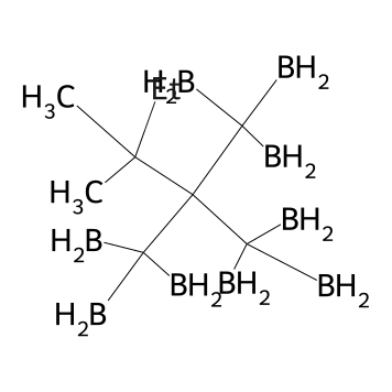 BC(B)(B)C(C(B)(B)B)(C(B)(B)B)C(C)(C)CC